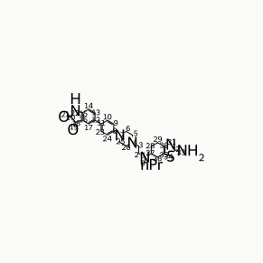 CCCN(CCN1CCN(c2ccc(-c3ccc4c(c3)C(=O)C(=O)N4)cc2)CC1)[C@H]1CCc2nc(N)sc2C1